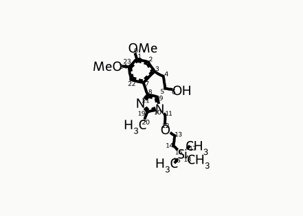 COc1cc(CCO)c(-c2cn(COCC[Si](C)(C)C)c(C)n2)cc1OC